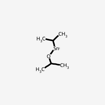 CC(C)[O][Sn][CH](C)C